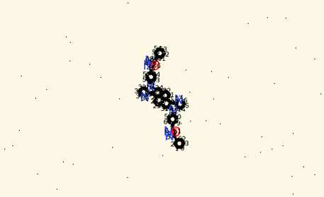 c1ccc(-c2nnc(-c3ccc(-n4c5cccnc5c5c6ccc7cc8c(c9ccc(cc54)c6c79)c4ncccc4n8-c4ccc(-c5nnc(-c6ccccc6)o5)cc4)cc3)o2)cc1